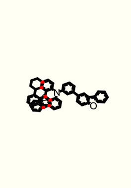 c1cc(-c2ccc3oc4ccccc4c3c2)cc(N(c2ccccc2-c2cccc3cccc(C4CCCCC4)c23)c2cccc3c2sc2ccccc23)c1